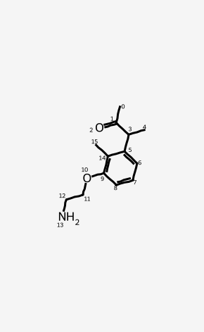 CC(=O)C(C)c1cccc(OCCN)c1C